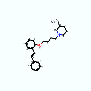 COC1CCCN(CCCCOc2ccccc2/C=C/c2ccccc2)C1